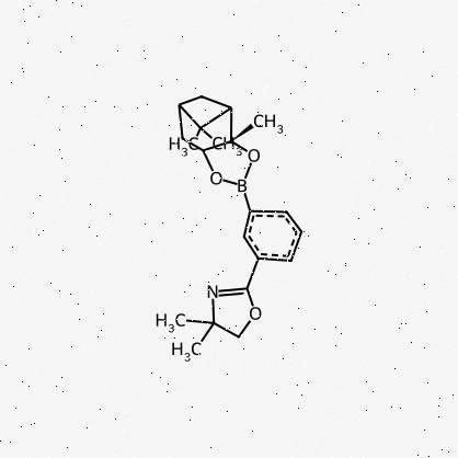 CC1(C)COC(c2cccc(B3OC4CC5CC(C5(C)C)[C@]4(C)O3)c2)=N1